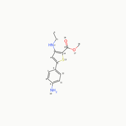 CCNc1cc(-c2ccc(N)cc2)sc1C(=O)OC